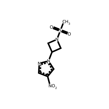 CS(=O)(=O)N1CC(n2cc([N+](=O)[O-])cn2)C1